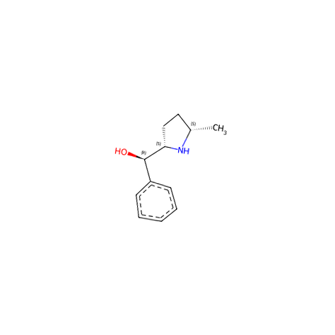 C[C@H]1CC[C@@H]([C@H](O)c2ccccc2)N1